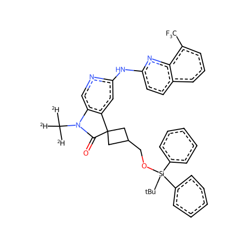 [2H]C([2H])([2H])N1C(=O)C2(CC(CO[Si](c3ccccc3)(c3ccccc3)C(C)(C)C)C2)c2cc(Nc3ccc4cccc(C(F)(F)F)c4n3)ncc21